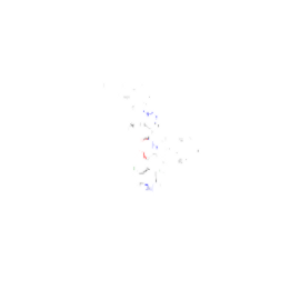 CCOC(=O)C1(C)CCC(n2ncc(C(=O)N3C[C@H](C4CCCCC4)C[C@H]3C(=O)c3c(Cl)cncc3Cl)c2C(F)(F)F)CC1